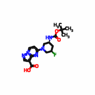 CC(C)(C)OC(=O)N[C@@H]1C[C@@H](F)CN(c2ccn3ncc(C(=O)O)c3n2)C1